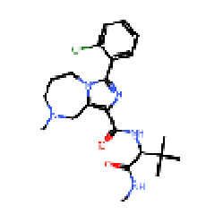 CNC(=O)C(NC(=O)c1nc(-c2ccccc2Cl)n2c1CN(C)CCC2)C(C)(C)C